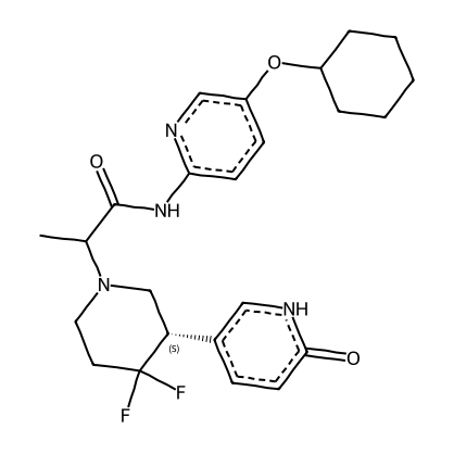 CC(C(=O)Nc1ccc(OC2CCCCC2)cn1)N1CCC(F)(F)[C@@H](c2ccc(=O)[nH]c2)C1